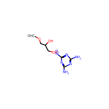 Nc1nc(N)nc(N)n1.O=COCC(O)CO